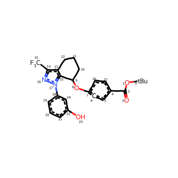 CC(C)(C)OC(=O)c1ccc(OC2CCCc3c(C(F)(F)F)nn(-c4cccc(O)c4)c32)cc1